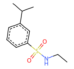 CCNS(=O)(=O)c1cccc(C(C)C)c1